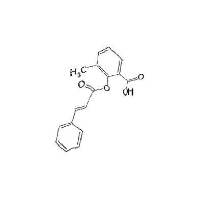 Cc1cccc(C(=O)O)c1OC(=O)/C=C/c1ccccc1